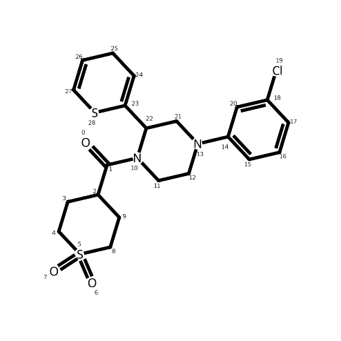 O=C(C1CCS(=O)(=O)CC1)N1CCN(c2cccc(Cl)c2)CC1C1=CCC=CS1